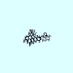 CNC(=O)NCc1cccc(COc2nc(N)nc(-c3ccc(F)cc3)c2-c2cc(C)nc(C(F)F)c2)n1